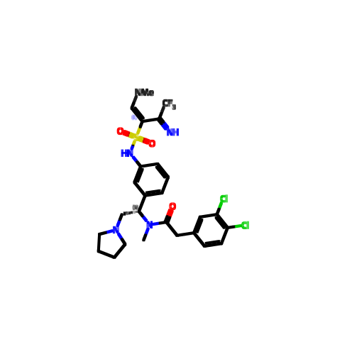 CN/C=C(\C(=N)C(F)(F)F)S(=O)(=O)Nc1cccc([C@@H](CN2CCCC2)N(C)C(=O)Cc2ccc(Cl)c(Cl)c2)c1